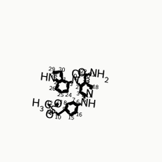 CN(c1cc(Nc2ccc(CS(C)(=O)=O)cc2)ncc1C(N)=O)c1cccc2[nH]ccc12